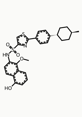 COc1c(NS(=O)(=O)c2csc(-c3ccc([C@H]4CC[C@H](C)CC4)cc3)n2)ccc2c(O)cccc12